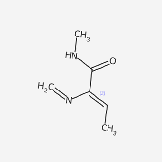 C=N/C(=C\C)C(=O)NC